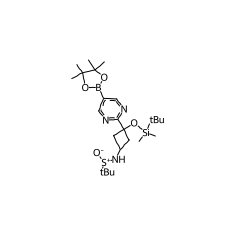 CC(C)(C)[S+]([O-])NC1CC(O[Si](C)(C)C(C)(C)C)(c2ncc(B3OC(C)(C)C(C)(C)O3)cn2)C1